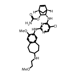 COCCNC1CCc2cc(Nc3ncc(Cl)c(N[C@H]4[C@@H](OC(N)=O)[C@@H]5C=C[C@H]4C5)n3)c(OC)cc2CC1